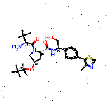 Cc1ncsc1-c1ccc([C@H](CO)NC(=O)[C@@H]2C[C@@H](O[Si](C)(C)C(C)(C)C)CN2C(=O)[C@@H](N)C(C)(C)C)cc1